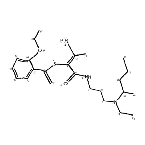 C=C(S/C(C(=O)NCCCN(CC)C(C)CCC)=C(/C)N)c1ccccc1OCC